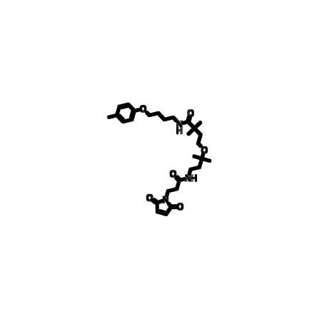 Cc1ccc(OCCCCNC(=O)C(C)(C)CCOC(C)(C)CCNC(=O)CCN2C(=O)C=CC2=O)cc1